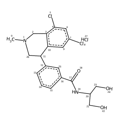 CN1Cc2c(Cl)cc(Cl)cc2C(c2cccc(C(=O)NC(CO)CO)c2)C1.Cl